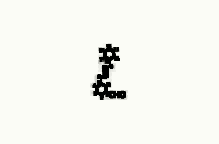 O=Cc1cccc(C=NOCc2ccccc2)c1